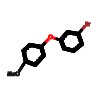 COc1ccc(Oc2cccc(Br)c2)cc1